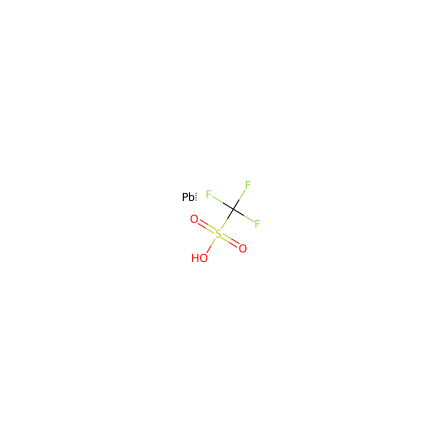 O=S(=O)(O)C(F)(F)F.[Pb]